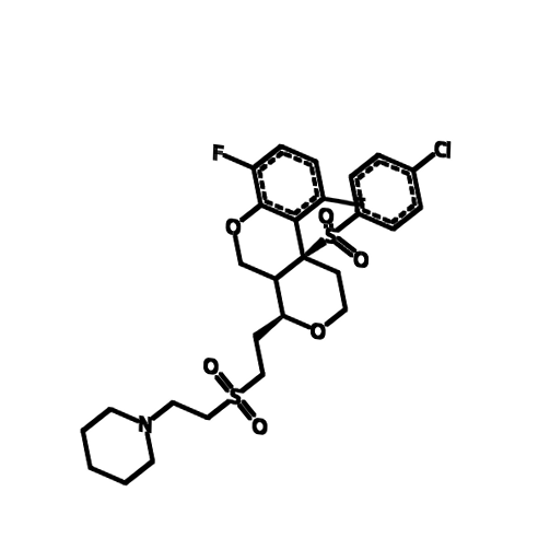 O=S(=O)(CC[C@@H]1OCC[C@@]2(S(=O)(=O)c3ccc(Cl)cc3)c3c(F)ccc(F)c3OCC12)CCN1CCCCC1